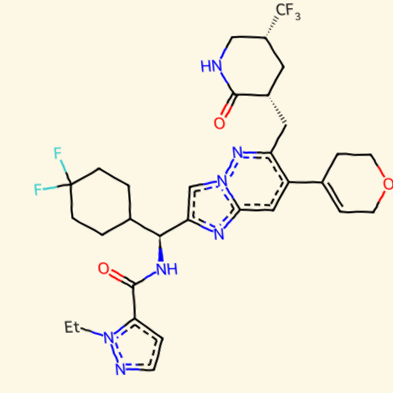 CCn1nccc1C(=O)N[C@H](c1cn2nc(C[C@H]3C[C@@H](C(F)(F)F)CNC3=O)c(C3=CCOCC3)cc2n1)C1CCC(F)(F)CC1